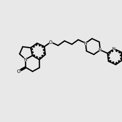 O=C1CCc2cc(OCCCCN3CCN(c4ccccn4)CC3)cc3c2N1CC3